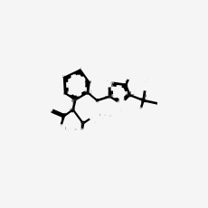 C=C(OC)C(c1ccccc1Cc1nc(Cl)c(C(C)(F)F)s1)C(CC)OC